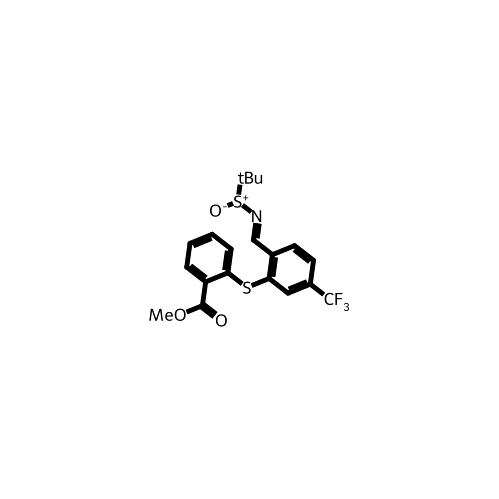 COC(=O)c1ccccc1Sc1cc(C(F)(F)F)ccc1/C=N/[S+]([O-])C(C)(C)C